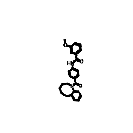 COc1cccc(C(=O)Nc2ccc(C(=O)N3CCCCCc4ccccc43)cc2)c1